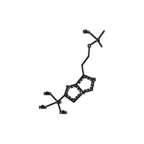 CCC[CH2][Sn]([CH2]CCC)([CH2]CCC)[c]1cn2cnc(CCO[Si](C)(C)C(C)(C)C)c2s1